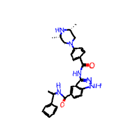 CC(NC(=O)c1ccc2[nH]nc(NC(=O)c3ccc(N4C[C@@H](C)N[C@@H](C)C4)cc3)c2c1)c1ccccc1